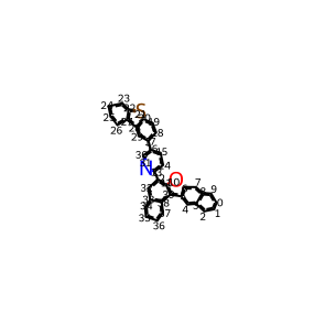 c1ccc2cc3c(cc2c1)oc1c(-c2ccc(-c4ccc5sc6ccccc6c5c4)cn2)cc2ccccc2c13